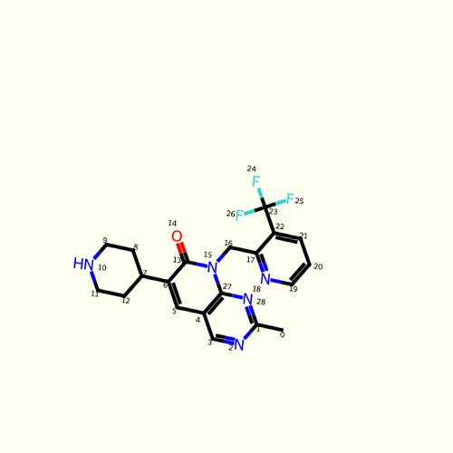 Cc1ncc2cc(C3CCNCC3)c(=O)n(Cc3ncccc3C(F)(F)F)c2n1